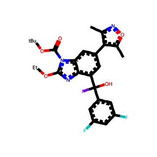 CCOc1nc2c(C(O)(I)c3cc(F)cc(F)c3)cc(-c3c(C)noc3C)cc2n1C(=O)OC(C)(C)C